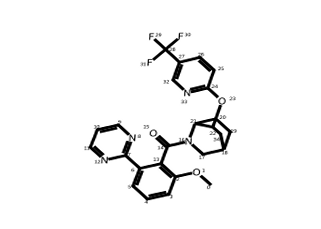 COc1cccc(-c2ncccn2)c1C(=O)N1CC2CCC1C(Oc1ccc(C(F)(F)F)cn1)C2